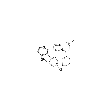 CN(C)C[C@H](c1ccccc1)n1cc(-c2ncnc(N)c2-c2ccc(Cl)cc2)cn1